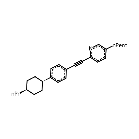 CCCCCc1ccc(C#Cc2ccc([C@H]3CC[C@H](CCC)CC3)cc2)nc1